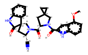 COc1cccc2[nH]c(C(=O)N3CC4(CC4)C[C@H]3C(=O)N3C[C@]4(C[C@H]3C#N)C(=O)Nc3ccccc34)cc12